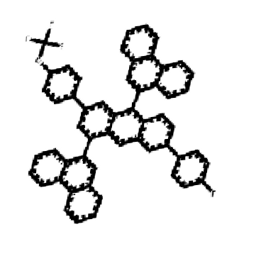 Fc1ccc(-c2ccc3c(-c4cc5ccccc5c5ccccc45)c4cc(-c5ccc(OC(F)(F)F)cc5)cc(-c5cc6ccccc6c6ccccc56)c4cc3c2)cc1